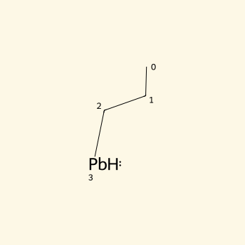 CC[CH2][PbH]